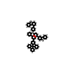 c1ccc(C2(c3ccccc3)c3ccccc3-c3cc(-c4cccc(-c5ccccc5N(c5ccc(-c6ccc7sc8ccccc8c7c6)cc5)c5ccc(-c6cccc7oc8ccccc8c67)cc5)c4)ccc32)cc1